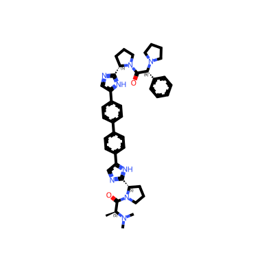 C[C@@H](C(=O)N1CCC[C@H]1c1ncc(-c2ccc(-c3ccc(-c4cnc([C@@H]5CCCN5C(=O)[C@@H](c5ccccc5)N5CCCC5)[nH]4)cc3)cc2)[nH]1)N(C)C